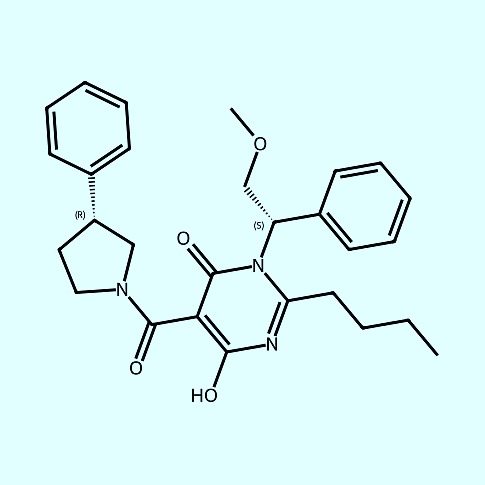 CCCCc1nc(O)c(C(=O)N2CC[C@H](c3ccccc3)C2)c(=O)n1[C@H](COC)c1ccccc1